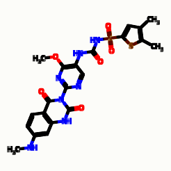 CNc1ccc2c(=O)n(-c3ncc(NC(=O)NS(=O)(=O)c4cc(C)c(C)s4)c(OC)n3)c(=O)[nH]c2c1